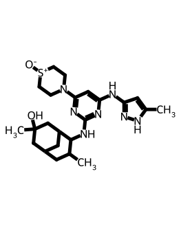 Cc1cc(Nc2cc(N3CC[S+]([O-])CC3)nc(NC3C(C)CC4CC3CC(C)(O)C4)n2)n[nH]1